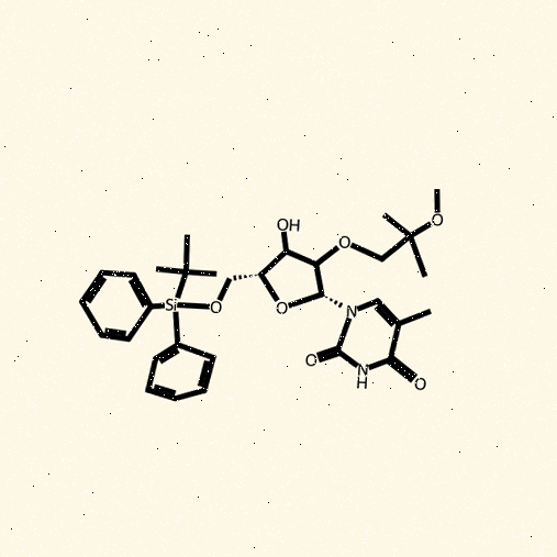 COC(C)(C)COC1C(O)[C@@H](CO[Si](c2ccccc2)(c2ccccc2)C(C)(C)C)O[C@H]1n1cc(C)c(=O)[nH]c1=O